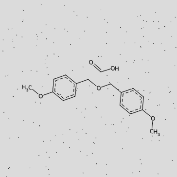 COc1ccc(COCc2ccc(OC)cc2)cc1.O=CO